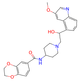 COc1cnc2cccc(C(O)CN3CCC(NC(=O)c4ccc5c(c4)OCCO5)CC3)c2c1